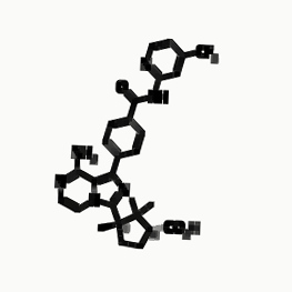 CC1(C)[C@H](C(=O)O)CC[C@]1(C)c1nc(-c2ccc(C(=O)Nc3cc(C(F)(F)F)ccn3)cc2)c2c(N)nccn12